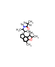 [2H]N(C(=O)C([2H])([2H])C)C(C)C(C)[C@@H]1CCc2cc(C)c3c(c21)C(C)C(C)O3